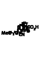 COCCCOc1cc2c(cc1C#N)-c1cc(=O)c(C(=O)O)cn1[C@H](C(C)C)CO2